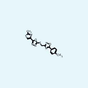 Cc1ccc(-c2nc(CSc3nnc(-c4csc(C)n4)o3)no2)cc1